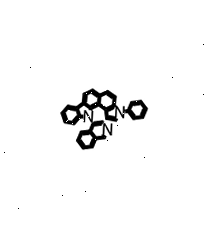 c1ccc(-n2ccc3c4c(ccc5c6ccccc6n(-c6cncc7ccccc67)c54)ccc32)cc1